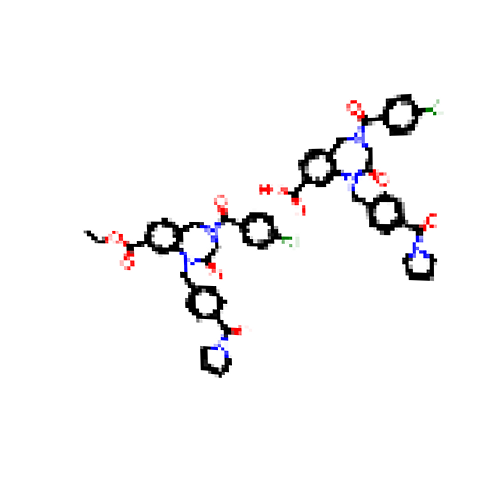 CCOC(=O)c1ccc2c(c1)N(Cc1ccc(C(=O)N3CC=CC3)cc1)C(=O)CN(C(=O)c1ccc(Cl)cc1)C2.O=C(O)c1ccc2c(c1)N(Cc1ccc(C(=O)N3CC=CC3)cc1)C(=O)CN(C(=O)c1ccc(Cl)cc1)C2